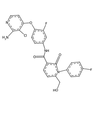 Nc1nccc(Oc2ccc(NC(=O)c3ccc(CO)n(-c4ccc(F)cc4)c3=O)cc2F)c1Cl